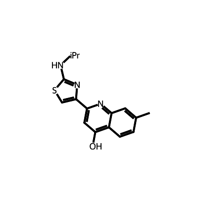 Cc1ccc2c(O)cc(-c3csc(NC(C)C)n3)nc2c1